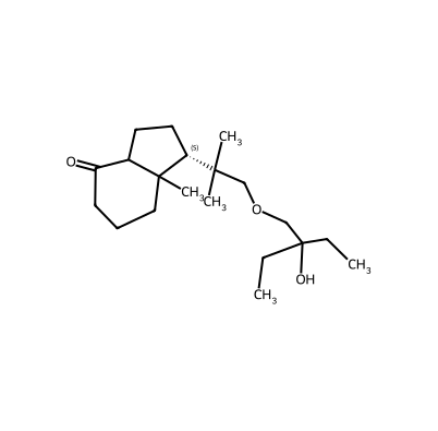 CCC(O)(CC)COCC(C)(C)[C@H]1CCC2C(=O)CCCC21C